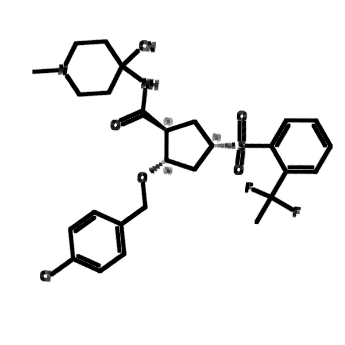 CN1CCC(C#N)(NC(=O)[C@H]2C[C@H](S(=O)(=O)c3ccccc3C(C)(F)F)C[C@@H]2OCc2ccc(Cl)cc2)CC1